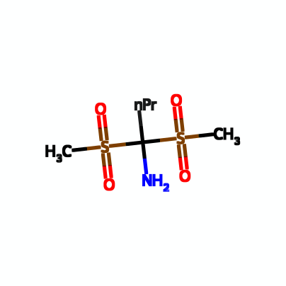 CCCC(N)(S(C)(=O)=O)S(C)(=O)=O